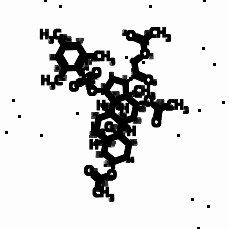 CC(=O)OCC(=O)[C@H]1C[C@H](OS(=O)(=O)c2c(C)cc(C)cc2C)[C@H]2[C@@H]3CC[C@@H]4C[C@@H](OC(C)=O)CC[C@]4(C)[C@H]3C[C@@H](OC(C)=O)[C@@]21C